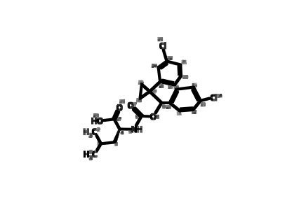 CC(C)C[C@H](NC(=O)OC(c1ccc(Cl)cc1)C1(c2cccc(Cl)c2)CC1)C(=O)O